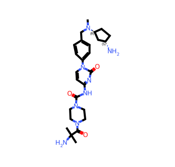 CN(Cc1ccc(-n2ccc(NC(=O)N3CCN(C(=O)C(C)(C)N)CC3)nc2=O)cc1)[C@@H]1CC[C@H](N)C1